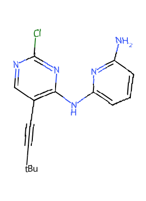 CC(C)(C)C#Cc1cnc(Cl)nc1Nc1cccc(N)n1